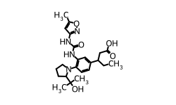 CCC(CC(=O)O)c1ccc(N2CCCC2C(C)(C)O)c(NC(=O)Nc2cc(C)on2)c1